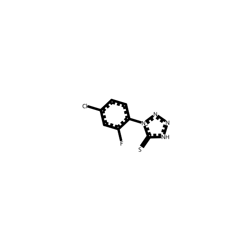 Fc1cc(Cl)ccc1-n1nn[nH]c1=S